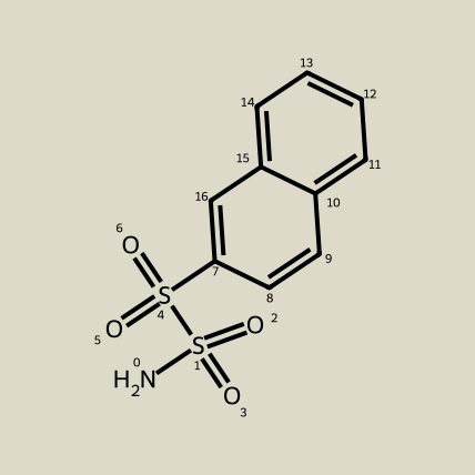 NS(=O)(=O)S(=O)(=O)c1ccc2ccccc2c1